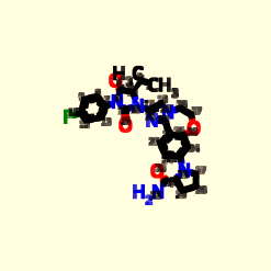 CC(C)[C@@H]1C(=O)N(c2ccc(F)cc2)C(=O)N1c1cn2c(n1)-c1ccc(N3CCC[C@H]3C(N)=O)cc1OCC2